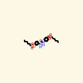 CCCCCCS(=O)(=O)Oc1ccc(NC(=O)Nc2cccc(OS(=O)(=O)CCCCCC)c2)cc1